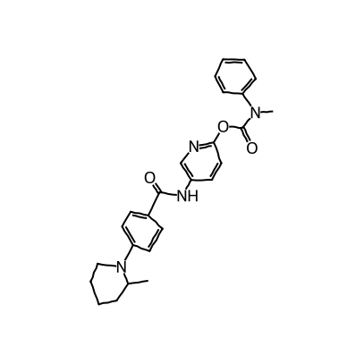 CC1CCCCN1c1ccc(C(=O)Nc2ccc(OC(=O)N(C)c3ccccc3)nc2)cc1